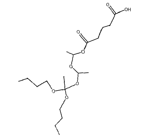 CCCCOC(C)(OCCCC)OC(C)OC(C)OC(=O)CCCC(=O)O